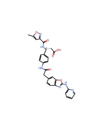 Cc1cc(C(=O)N[C@H](CC(=O)O)c2ccc(NC(=O)Cc3ccc4nc(Nc5ccccn5)oc4c3)cc2)no1